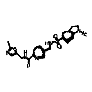 CC(=O)N1CCc2cc(S(=O)(=O)NCc3ccc(C(=O)NCc4cnc(C)s4)nc3)ccc21